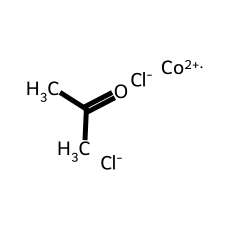 CC(C)=O.[Cl-].[Cl-].[Co+2]